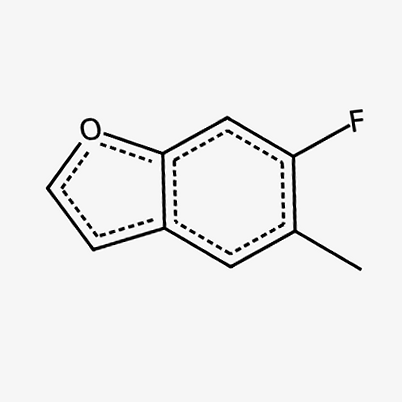 Cc1cc2ccoc2cc1F